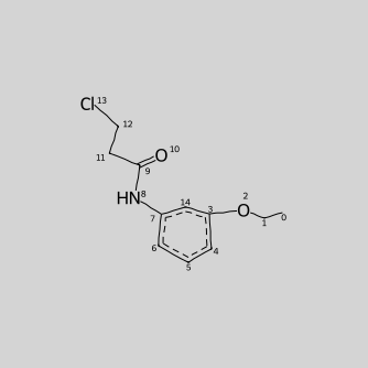 CCOc1cccc(NC(=O)CCCl)c1